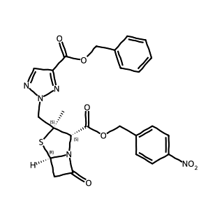 C[C@@]1(Cn2ncc(C(=O)OCc3ccccc3)n2)S[C@@H]2CC(=O)N2[C@H]1C(=O)OCc1ccc([N+](=O)[O-])cc1